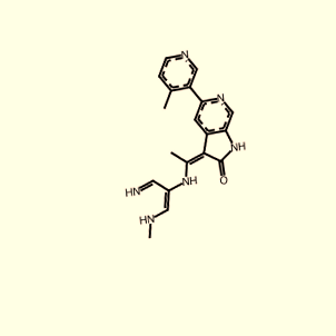 CN/C=C(\C=N)N/C(C)=C1\C(=O)Nc2cnc(-c3cnccc3C)cc21